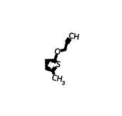 C#CCOc1ccc(C)s1